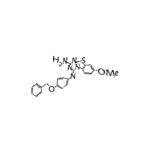 COc1ccc2c(c1)sc1nc(N)nc(=Nc3ccc(OCc4ccccc4)cc3)n12